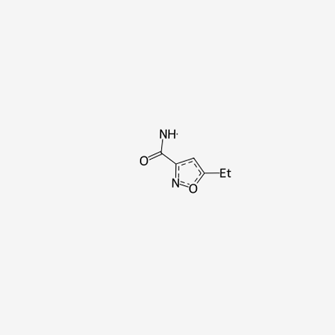 CCc1cc(C([NH])=O)no1